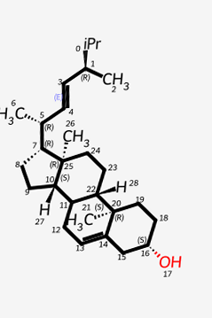 CC(C)[C@@H](C)/C=C/[C@@H](C)[C@H]1CC[C@H]2C3CC=C4C[C@@H](O)CC[C@]4(C)[C@H]3CC[C@]12C